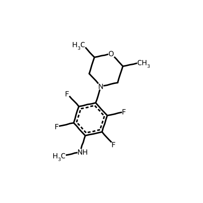 CNc1c(F)c(F)c(N2CC(C)OC(C)C2)c(F)c1F